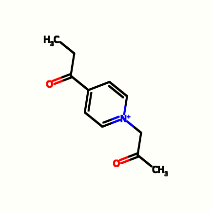 CCC(=O)c1cc[n+](CC(C)=O)cc1